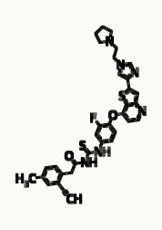 C#Cc1cc(C)ccc1CC(=O)NC(=S)Nc1ccc(Oc2ccnc3cc(-c4cn(CCN5CCCC5)cn4)sc23)c(F)c1